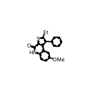 CCc1sc2c(=O)[nH]c3ccc(OC)cc3c2c1-c1ccccc1